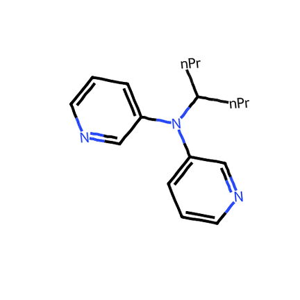 CCCC(CCC)N(c1cccnc1)c1cccnc1